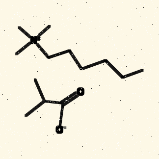 CC(C)C(=O)[O-].CCCCCC[N+](C)(C)C